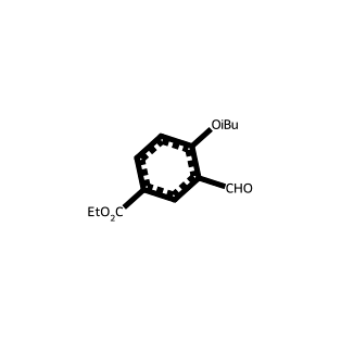 CCOC(=O)c1ccc(OCC(C)C)c(C=O)c1